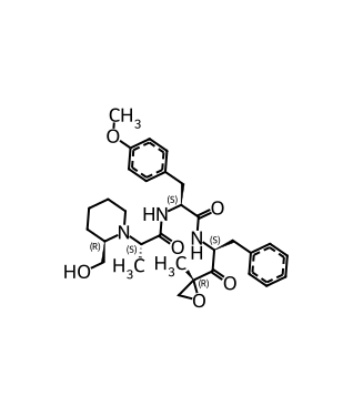 COc1ccc(C[C@H](NC(=O)[C@H](C)N2CCCC[C@@H]2CO)C(=O)N[C@@H](Cc2ccccc2)C(=O)[C@@]2(C)CO2)cc1